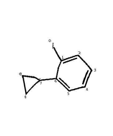 Ic1ccccc1[C]1CC1